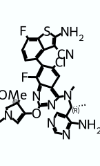 CO[C@@H]1CN(C)C=C1Oc1nc(N(C)[C@H](C)c2cncnc2N)c2cc(Cl)c(-c3ccc(F)c4sc(N)c(C#N)c34)c(F)c2n1